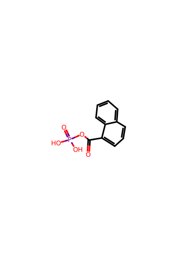 O=C(OP(=O)(O)O)c1cccc2ccccc12